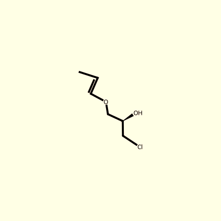 C/C=C/OC[C@@H](O)CCl